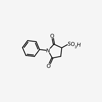 O=C1CC(S(=O)(=O)O)C(=O)N1c1ccccc1